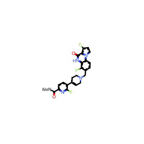 CNC(=O)c1ccc(C2=CCN(Cc3ccc4c([nH]c(=O)c5c(F)ccn54)c3F)CC2)c(F)n1